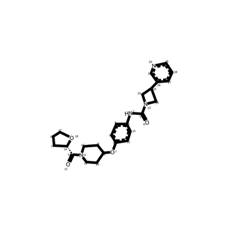 O=C(Nc1ccc(OC2CCN(C(=O)[C@@H]3CCCO3)CC2)cc1)N1CC(c2cccnc2)C1